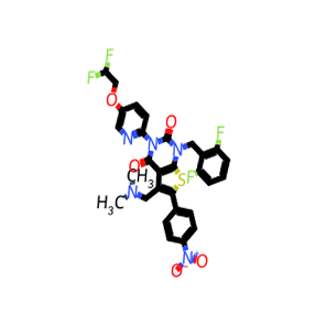 CN(C)Cc1c(-c2ccc([N+](=O)[O-])cc2)sc2c1c(=O)n(-c1ccc(OCC(F)F)cn1)c(=O)n2Cc1c(F)cccc1F